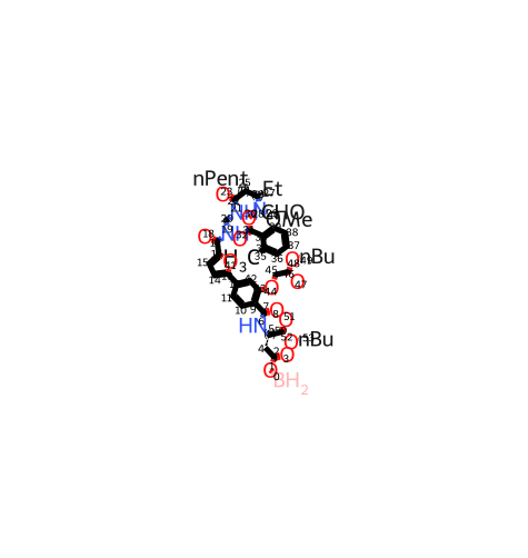 BOC(=O)C[C@H](NC(=O)c1ccc(-c2ccc(C(=O)NCNC(=O)[C@H](CCCCC)[C@@H](CC)N(C=O)OC(=O)c3c(C)cccc3OC)o2)cc1OCC(=O)OCCCC)C(=O)OCCCC